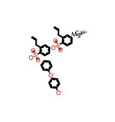 C=CCc1ccccc1S(=O)(=O)[O-].C=CCc1ccccc1S(=O)(=O)[O-].[Ca+2].[Mg+2].[O-]c1ccccc1.[O-]c1ccccc1